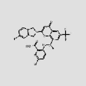 C[C@@H](Nc1ccc(Cl)nc1C(=O)O)c1cc(C(F)(F)F)cc2c(=O)cc(N3Cc4ccc(F)cc4C3)oc12